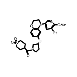 CCc1cc(N2CCOc3ccc(O[C@H]4CCN(C(=O)C5CCS(=O)(=O)CC5)C4)cc32)cnc1OC